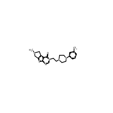 CN1Cc2sc3ncn(CCN4CCN(c5cccc(C(F)(F)F)c5)CC4)c(=O)c3c2C1